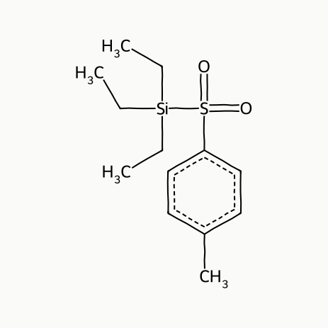 CC[Si](CC)(CC)S(=O)(=O)c1ccc(C)cc1